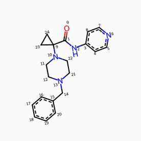 O=C(Nc1ccncc1)C1(N2CCN(Cc3ccccc3)CC2)CC1